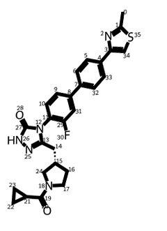 Cc1nc(-c2ccc(-c3ccc(-n4c(C[C@@H]5CCN(C(=O)C6CC6)C5)n[nH]c4=O)c(F)c3)cc2)cs1